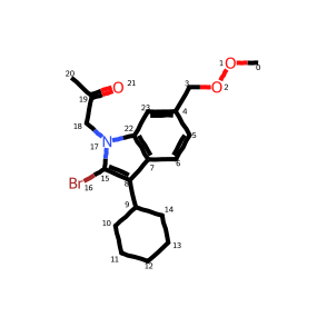 COOCc1ccc2c(C3CCCCC3)c(Br)n(CC(C)=O)c2c1